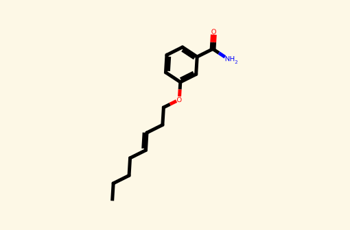 CCCCC=CCCOc1cccc(C(N)=O)c1